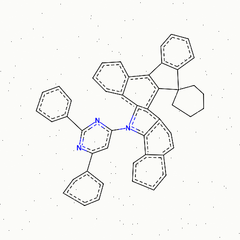 c1ccc(-c2cc(-n3c4c5ccccc5ccc4c4c5c(c6ccccc6c43)-c3ccccc3C53CCCCC3)nc(-c3ccccc3)n2)cc1